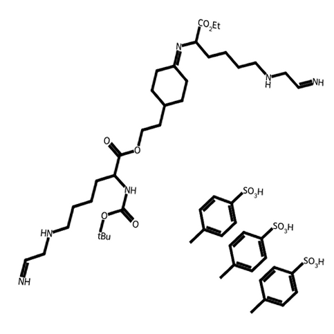 CCOC(=O)C(CCCCNCC=N)N=C1CCC(CCOC(=O)C(CCCCNCC=N)NC(=O)OC(C)(C)C)CC1.Cc1ccc(S(=O)(=O)O)cc1.Cc1ccc(S(=O)(=O)O)cc1.Cc1ccc(S(=O)(=O)O)cc1